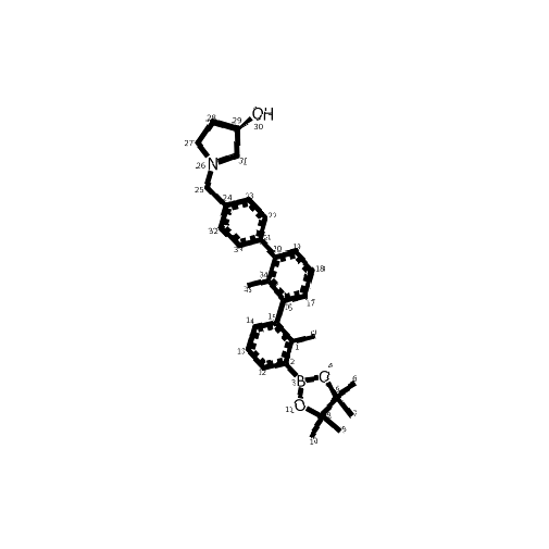 Cc1c(B2OC(C)(C)C(C)(C)O2)cccc1-c1cccc(-c2ccc(CN3CC[C@@H](O)C3)cc2)c1C